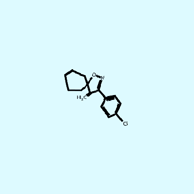 C=C1C(c2ccc(Cl)cc2)=NOC12CCCCC2